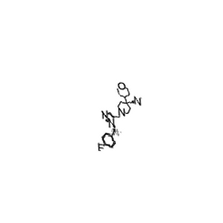 C[C@H](c1ccc(F)cc1)n1cncc1CN1CCC(C#N)(C2CCOCC2)CC1